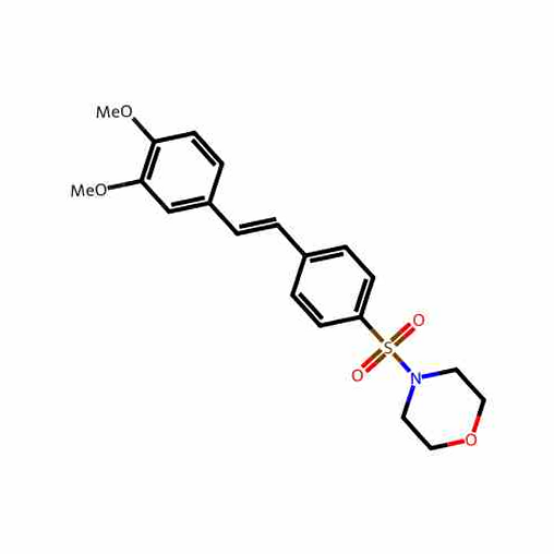 COc1ccc(/C=C/c2ccc(S(=O)(=O)N3CCOCC3)cc2)cc1OC